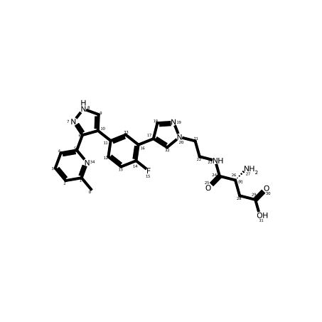 Cc1cccc(-c2n[nH]cc2-c2ccc(F)c(-c3cnn(CCNC(=O)[C@H](N)CC(=O)O)c3)c2)n1